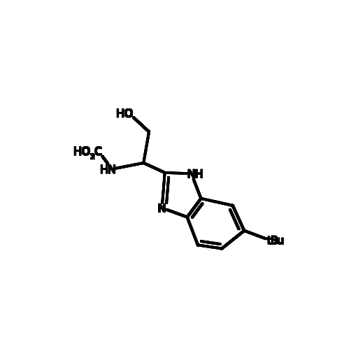 CC(C)(C)c1ccc2nc(C(CO)NC(=O)O)[nH]c2c1